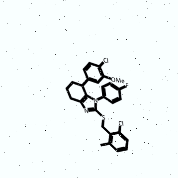 COc1cc(C2CCCc3nc(SCc4c(C)cccc4Cl)n(-c4ccc(F)cc4)c32)ccc1Cl